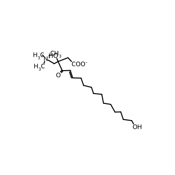 C[N+](C)(C)CC(O)(CC(=O)[O-])C(=O)C=CCCCCCCCCCCCO